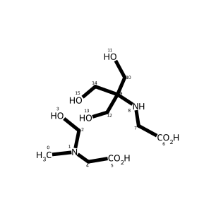 CN(CO)CC(=O)O.O=C(O)CNC(CO)(CO)CO